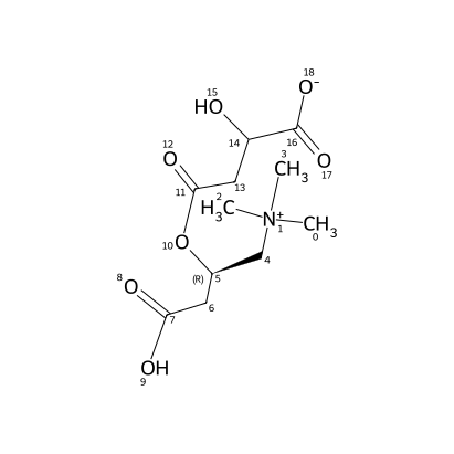 C[N+](C)(C)C[C@@H](CC(=O)O)OC(=O)CC(O)C(=O)[O-]